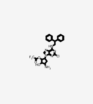 NC1CC(n2cnc3c(NCC(c4ccccc4)c4ccccc4)nc(Cl)nc32)C(OC(=O)C(F)(F)F)C1O